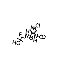 CC(C)(O)C(F)CNC(=O)c1cnc(Cl)cc1NC1COC1